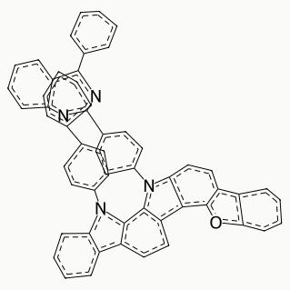 c1ccc(-c2ccc(-n3c4ccccc4c4ccc5c6c7oc8ccccc8c7ccc6n(-c6ccc(-c7nc(-c8ccccc8)c8ccccc8n7)cc6)c5c43)cc2)cc1